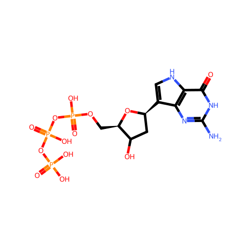 Nc1nc2c([C@H]3CC(O)[C@@H](COP(=O)(O)OP(=O)(O)OP(=O)(O)O)O3)c[nH]c2c(=O)[nH]1